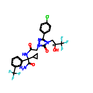 NC(=O)C(NC(=O)Cn1nc(-c2ccc(Cl)cc2)n(C[C@H](O)C(F)(F)F)c1=O)(c1cccc(C(F)(F)F)c1)C1CC1